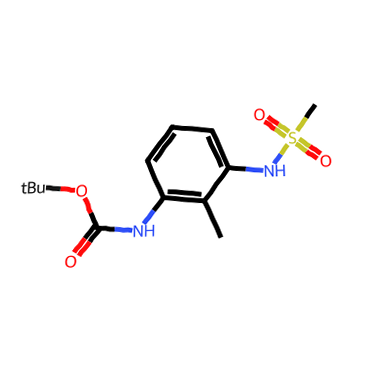 Cc1c(NC(=O)OC(C)(C)C)cccc1NS(C)(=O)=O